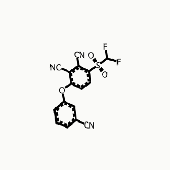 N#Cc1cccc(Oc2ccc(S(=O)(=O)C(F)F)c(C#N)c2C#N)c1